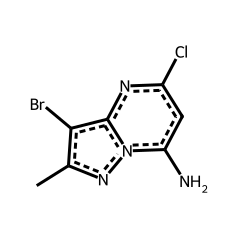 Cc1nn2c(N)cc(Cl)nc2c1Br